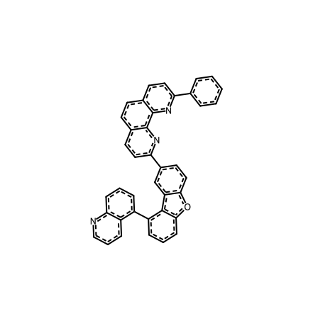 c1ccc(-c2ccc3ccc4ccc(-c5ccc6oc7cccc(-c8cccc9ncccc89)c7c6c5)nc4c3n2)cc1